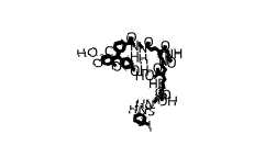 O=C(/C=C/c1cn(C2CC(CBCOP(=O)(O)CCNC(=S)Nc3cccc(I)c3)C(CO)O2)c(=O)[nH]c1=O)NCNC(=O)c1ccc(C(=O)O)c(-c2c3ccc(=O)cc-3oc3cc(O)ccc23)c1